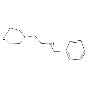 c1ccc(CNCCC2CCOCC2)cc1